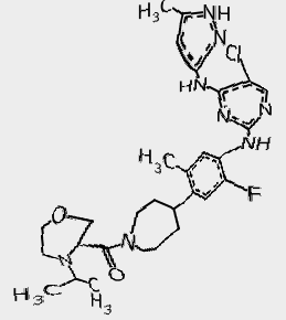 Cc1cc(Nc2nc(Nc3cc(C)c(C4CCN(C(=O)[C@@H]5COCCN5C(C)C)CC4)cc3F)ncc2Cl)n[nH]1